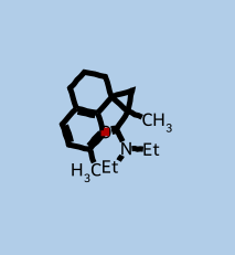 CCN(CC)C(=O)C1(C)CC12CCCc1ccc(C)cc12